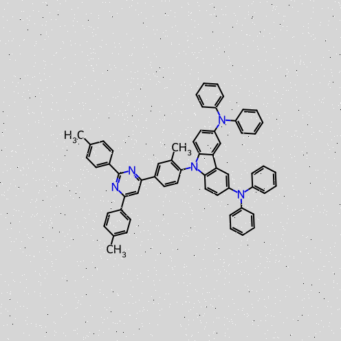 Cc1ccc(-c2cc(-c3ccc(-n4c5ccc(N(c6ccccc6)c6ccccc6)cc5c5cc(N(c6ccccc6)c6ccccc6)ccc54)c(C)c3)nc(-c3ccc(C)cc3)n2)cc1